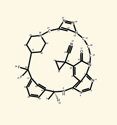 C[C@@H]1Nc2ncnc3c2cc(C2(C#N)CC2)c(=O)n3CCCn2cc(nn2)CN2CCC(CC2)C(F)(F)c2cccc1c2